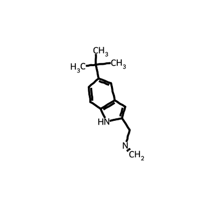 C=NCc1cc2cc(C(C)(C)C)ccc2[nH]1